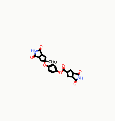 O=CC1(Oc2ccc(OC(=O)C3CC4C(=O)NC(=O)C4C3)cc2)CC2C(=O)NC(=O)C2C1